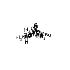 C[C@H]1c2nc(-c3ccc(NC(N)=O)cc3)nc(N3CCOC[C@@H]3C)c2CCN1C(=O)OC(C)(C)C